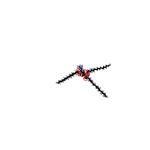 CCCCCCCCCCCCCCCC(=O)O[C@H]1[C@@H]([C@@H](CN(C)C)OC(=O)CCCCCCCCCCCCCCC)OC[C@@H]1OC(=O)CCCCCCCCCCCCCCC